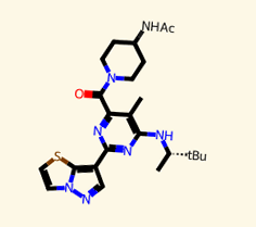 CC(=O)NC1CCN(C(=O)c2nc(-c3cnn4ccsc34)nc(N[C@@H](C)C(C)(C)C)c2C)CC1